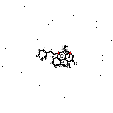 O=C1CC[C@@]2(OCCCc3ccccc3)[C@H]3Cc4cccc5c4[C@@]2(CCN3)[C@H]1O5